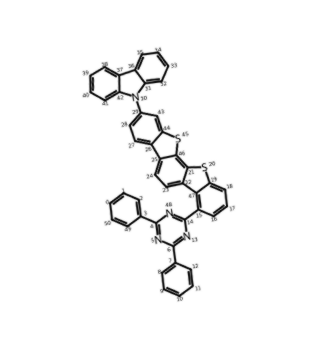 c1ccc(-c2nc(-c3ccccc3)nc(-c3cccc4sc5c(ccc6c7ccc(-n8c9ccccc9c9ccccc98)cc7sc65)c34)n2)cc1